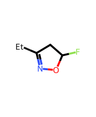 CCC1=NOC(F)C1